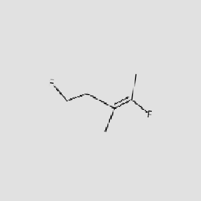 CC(F)=C(C)CCF